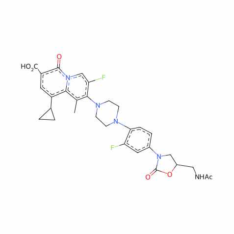 CC(=O)NCC1CN(c2ccc(N3CCN(c4c(F)cn5c(=O)c(C(=O)O)cc(C6CC6)c5c4C)CC3)c(F)c2)C(=O)O1